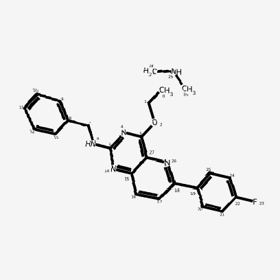 CCOc1nc(NCc2ccccc2)nc2ccc(-c3ccc(F)cc3)nc12.CNC